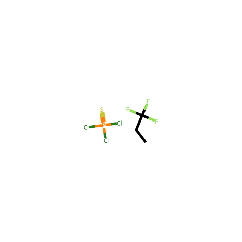 CCC(F)(F)F.S=P(Cl)(Cl)Cl